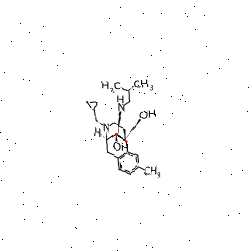 Cc1ccc2c(c1)[C@]13CCN(CC4CC4)[C@H](C2)[C@]1(O)C[C@@H](NCC(C)C)[C@@H](O)C3